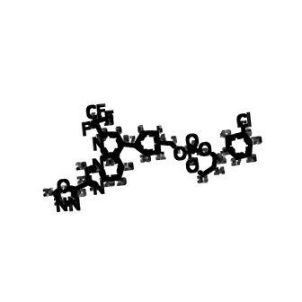 O=[P@]1(OCc2ccc(-c3cc(C(F)(F)C(F)(F)F)nc4c3ccc3nc(-c5nnco5)cn34)cc2)OCC[C@@H](c2cccc(Cl)c2)O1